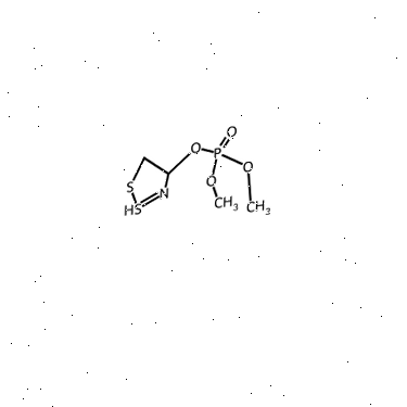 COP(=O)(OC)OC1CS[SH]=N1